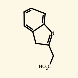 O=C(O)CC1=Nc2ccccc2C1